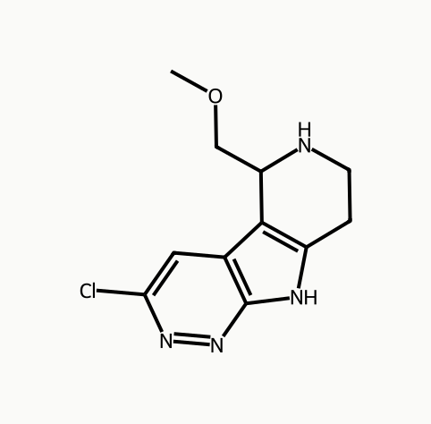 COCC1NCCc2[nH]c3nnc(Cl)cc3c21